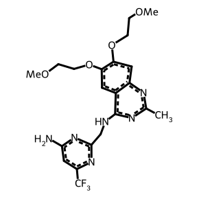 COCCOc1cc2nc(C)nc(NCc3nc(N)cc(C(F)(F)F)n3)c2cc1OCCOC